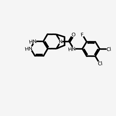 O=C(Nc1cc(Cl)c(Cl)cc1F)N1C2CCC1C1=C(C2)NNC=C1